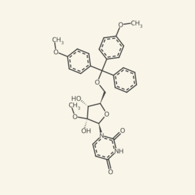 COc1ccc(C(OC[C@H]2O[C@@H](n3ccc(=O)[nH]c3=O)[C@@](O)(OC)[C@@H]2O)(c2ccccc2)c2ccc(OC)cc2)cc1